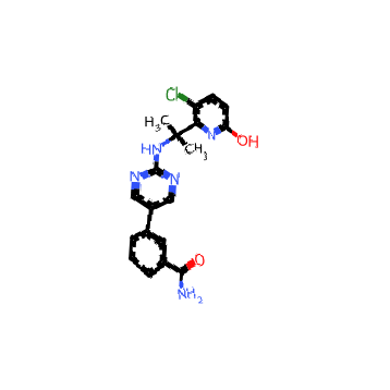 CC(C)(Nc1ncc(-c2cccc(C(N)=O)c2)cn1)c1nc(O)ccc1Cl